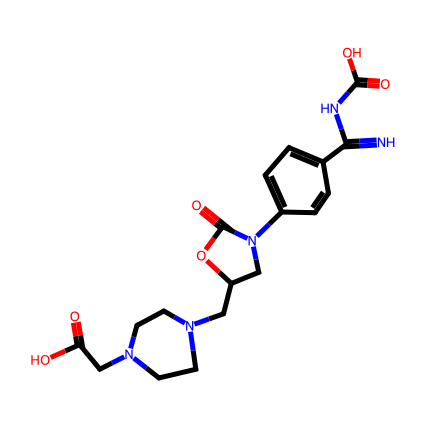 N=C(NC(=O)O)c1ccc(N2CC(CN3CCN(CC(=O)O)CC3)OC2=O)cc1